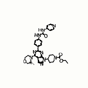 CCOC(=O)N1CCC(n2ncc3c(N4CCOC[C@H]4C)nc(-c4ccc(NC(=O)Nc5ccncc5)cc4)nc32)CC1